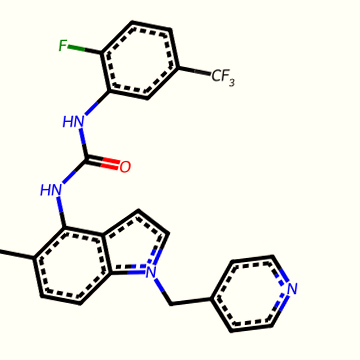 Cc1ccc2c(ccn2Cc2ccncc2)c1NC(=O)Nc1cc(C(F)(F)F)ccc1F